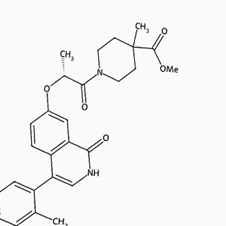 COC(=O)C1(C)CCN(C(=O)[C@@H](C)Oc2ccc3c(-c4ccccc4C)c[nH]c(=O)c3c2)CC1